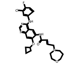 O=C(/C=C/CN1CCCOCC1)Nc1cc2c(Nc3ccc(F)c(Cl)c3)ncnc2cc1OC1CCC1